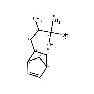 CC(CC1CC2C=CC1C2)C(C)(C)O